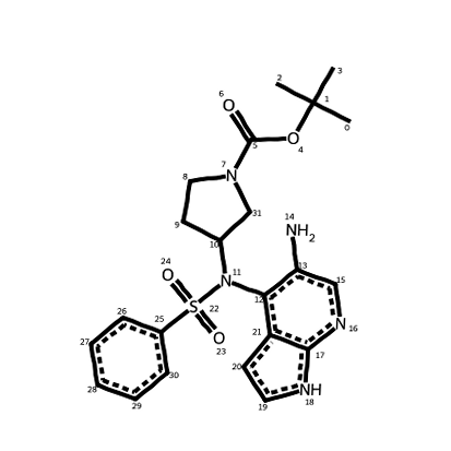 CC(C)(C)OC(=O)N1CCC(N(c2c(N)cnc3[nH]ccc23)S(=O)(=O)c2ccccc2)C1